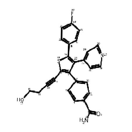 NC(=O)c1ccc(-c2c(C#CCCO)sc(-c3ccc(F)cc3)c2-c2ccncc2)cc1